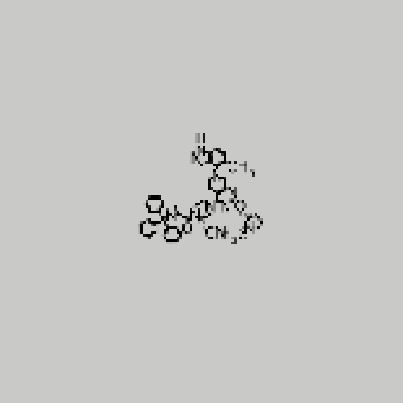 Cc1ccc2[nH]ncc2c1N1CCc2c(nc(OC[C@@H]3CCCN3C)nc2N2CCN(C(=O)C3CN3C(c3ccccc3)(c3ccccc3)c3ccccc3)[C@@H](CC#N)C2)C1